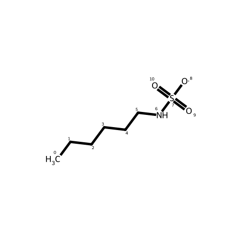 CCCCCCNS([O])(=O)=O